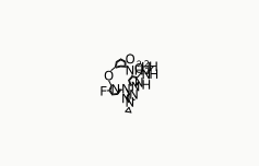 [2H]C([2H])([2H])NC(=O)c1nnc2cc1Nc1cc(ccc1OC)COCc1nc(ccc1F)N2c1ncn(C2CC2)n1